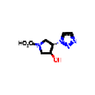 O=C(O)N1C[C@H](O)[C@@H](n2ccnn2)C1